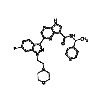 CC(NC(=O)c1c[nH]c2ncc(-c3nn(CCN4CCOCC4)c4cc(F)ccc34)nc12)c1ccncc1